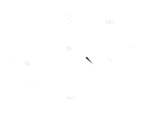 Cl.N#C[C@@H]1CCCN1C(=O)[C@@H]1C[C@H](Nc2ccc([N+](=O)[O-])cc2)CN1